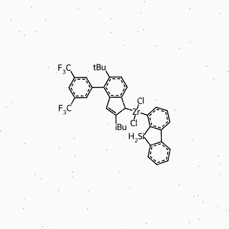 CCC(C)C1=Cc2c(ccc(C(C)(C)C)c2-c2cc(C(F)(F)F)cc(C(F)(F)F)c2)[CH]1[Zr]([Cl])([Cl])[c]1cccc2c1[SiH2]c1ccccc1-2